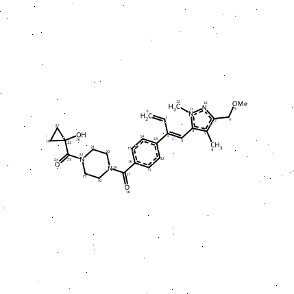 C=C/C(=C\c1c(C)c(COC)nn1C)c1ccc(C(=O)N2CCN(C(=O)C3(O)CC3)CC2)cc1